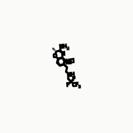 C[C@H]1Oc2ccc(CCNCC(F)(F)C(F)(F)F)cc2N=C1N.Cl.Cl